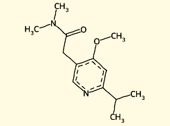 COc1cc(C(C)C)ncc1CC(=O)N(C)C